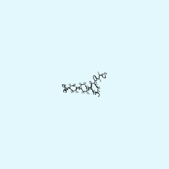 COCCOc1cc(C)nc(N2CCN(c3ccc([N+](=O)[O-])cc3)CC2)c1